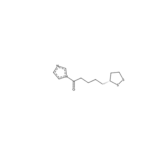 O=C(CCCC[C@@H]1CCSS1)n1ccnc1